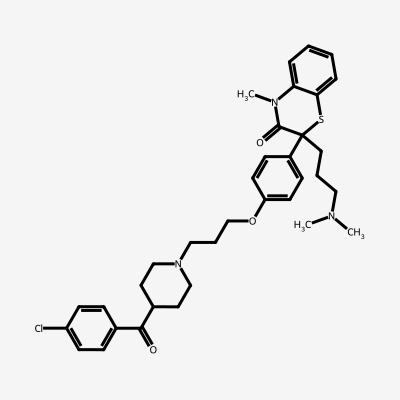 CN(C)CCCC1(c2ccc(OCCCN3CCC(C(=O)c4ccc(Cl)cc4)CC3)cc2)Sc2ccccc2N(C)C1=O